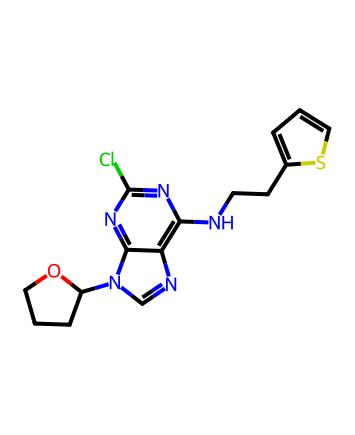 Clc1nc(NCCc2cccs2)c2ncn(C3CCCO3)c2n1